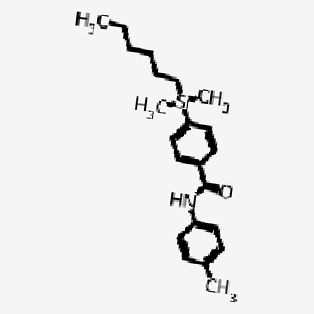 CCCCCC[Si](C)(C)c1ccc(C(=O)Nc2ccc(C)cc2)cc1